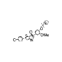 COc1cc(-n2cnc3cc(-c4ccc(Cl)cc4)sc3c2=O)ccc1OCC(C)(C)N1CCCC1